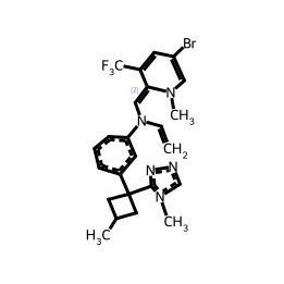 C=CN(/C=C1/C(C(F)(F)F)=CC(Br)=CN1C)c1cccc(C2(c3nncn3C)CC(C)C2)c1